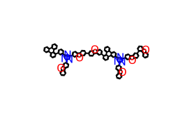 c1cc(-c2nc(-c3ccc4c(c3)oc3ccccc34)nc(-c3ccc4c(c3)oc3cc(-c5ccc6c(c5)oc5ccc(-c7cccc8c9cc(-c%10nc(-c%11ccc%12c(c%11)oc%11ccccc%11%12)nc(-c%11ccc%12c(c%11)oc%11ccc(-c%13cccc%14oc%15ccccc%15c%13%14)cc%11%12)n%10)ccc9c9ccccc9c78)cc56)ccc34)n2)cc(-c2cccc3c4ccccc4c4ccccc4c23)c1